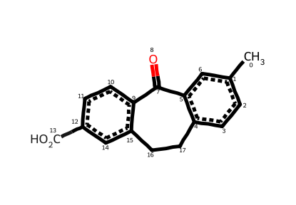 Cc1ccc2c(c1)C(=O)c1ccc(C(=O)O)cc1CC2